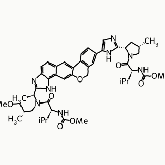 COC[C@@H](C)CN(C(=O)[C@@H](NC(=O)OC)C(C)C)[C@@H](C)c1nc2ccc3cc4c(cc3c2[nH]1)OCc1cc(-c2cnc([C@@H]3C[C@H](C)CN3C(=O)[C@@H](NC(=O)OC)C(C)C)[nH]2)ccc1-4